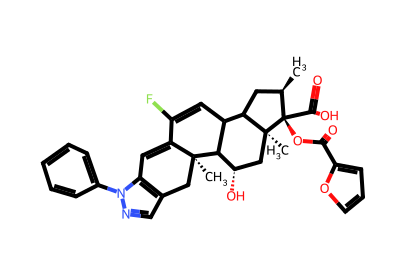 C[C@@H]1CC2C3C=C(F)C4=Cc5c(cnn5-c5ccccc5)C[C@]4(C)C3[C@@H](O)C[C@]2(C)[C@@]1(OC(=O)c1ccco1)C(=O)O